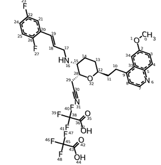 COc1ccc2nccc(CC[C@@H]3CC[C@@H](NC/C=C/c4cc(F)ccc4F)[C@@H](CC#N)O3)c2c1.O=C(O)C(F)(F)F.O=C(O)C(F)(F)F